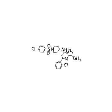 Bc1cnn2c(NC3CCN(S(=O)(=O)c4ccc(Cl)cc4)CC3)cc(-c3ccccc3Cl)nc12